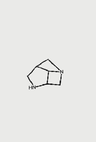 C1NC2CN3CC1C23